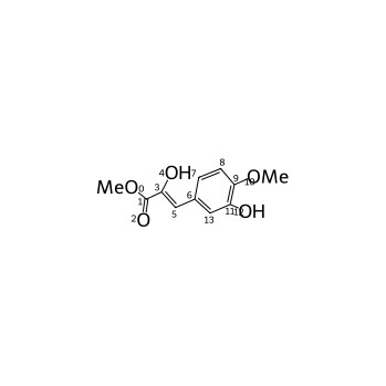 COC(=O)C(O)=Cc1ccc(OC)c(O)c1